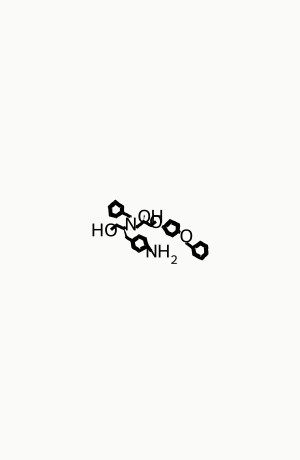 Nc1ccc(C[C@@H](CO)N(Cc2ccccc2)C[C@H](O)COc2ccc(OCc3ccccc3)cc2)cc1